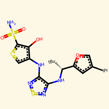 CC(C)c1coc([C@H](Nc2nsnc2Nc2csc(S(N)(=O)=O)c2O)C(C)(C)C)c1